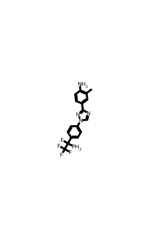 Cc1cc(-c2ncn(-c3ccc(C(F)(P)C(F)(F)F)cc3)n2)ccc1N